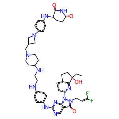 CC[C@@]1(O)CCc2ccc(-n3c4nc(Nc5ccc(NCCNC6CCN(CC7CN(c8ccc(NC9CCC(=O)NC9=O)cc8)C7)CC6)cc5)ncc4c(=O)n3CC=C(F)F)nc21